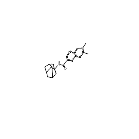 Cc1cc2ncc(C(=O)NC34CC5CC(CC(C5)C3)C4)nc2cc1C